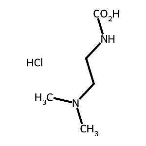 CN(C)CCNC(=O)O.Cl